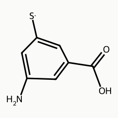 Nc1cc([S])cc(C(=O)O)c1